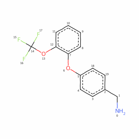 NCc1ccc(Oc2ccccc2OC(F)(F)F)cc1